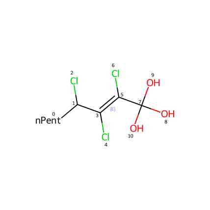 CCCCCC(Cl)/C(Cl)=C(\Cl)C(O)(O)O